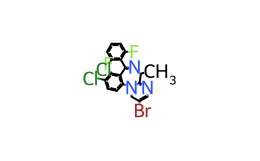 CC1N=C(c2c(F)cccc2F)c2c(ccc(Cl)c2Cl)N2CC(Br)=CN=C12